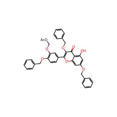 CC(=O)OCOc1cc(-c2oc3cc(OCc4ccccc4)cc(O)c3c(=O)c2OCc2ccccc2)ccc1OCc1ccccc1